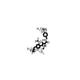 CCn1nc(C(=O)NCC2CCC(S(=O)(=O)NC)CC2)c(Cl)c1-c1ccc(CC(C)(C)C(F)(F)F)cc1OC(F)F